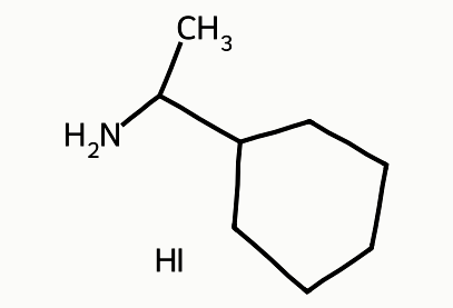 CC(N)C1CCCCC1.I